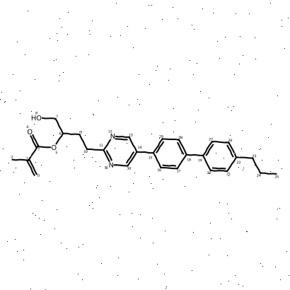 C=C(C)C(=O)OC(CO)CCc1ncc(-c2ccc(-c3ccc(CCC)cc3)cc2)cn1